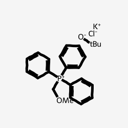 CC(C)(C)[O-].COC[P+](c1ccccc1)(c1ccccc1)c1ccccc1.[Cl-].[K+]